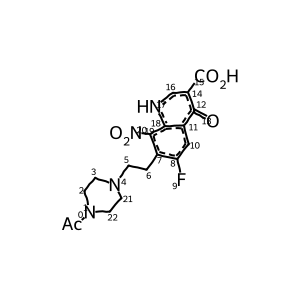 CC(=O)N1CCN(CCc2c(F)cc3c(=O)c(C(=O)O)c[nH]c3c2[N+](=O)[O-])CC1